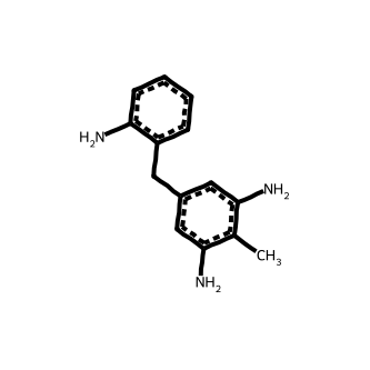 Cc1c(N)cc(Cc2ccccc2N)cc1N